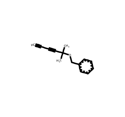 C#CC#CC(C)(C)OCc1ccccc1